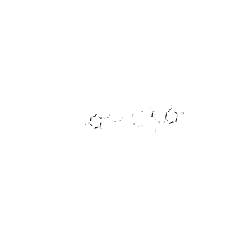 Cl.O=C(Nc1ccc(Cl)cc1)N1CCN(CCCCc2ccc(F)cc2)CC1